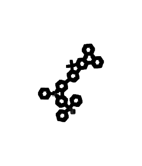 CC1(C)c2cc(-c3ccc4c(c3)c3cc(P(=O)(c5ccccc5)c5ccccc5)ccc3n4-c3ccccc3)ccc2-c2cc3c4ccccc4c4ccccc4c3cc21